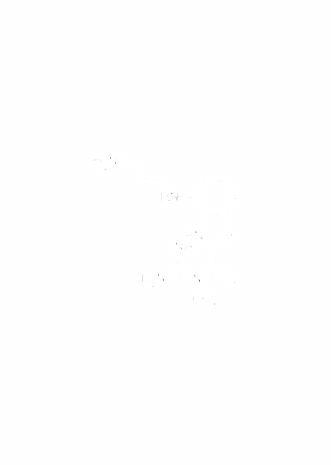 CN(C(=N)N)C(=O)c1cc2cccc(NCCCN)c2[nH]1